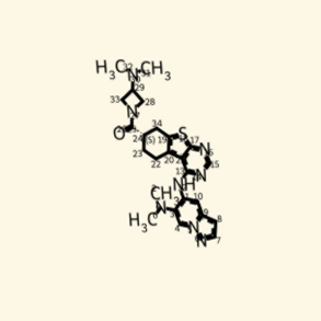 CN(C)c1cn2nccc2cc1Nc1ncnc2sc3c(c12)CC[C@H](C(=O)N1CC(N(C)C)C1)C3